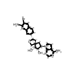 Nc1nc2cc([C@@H]3C[C@@]4(CO3)C[C@@H](n3ccc5c(N)ncnc53)[C@H](O)[C@@H]4O)ccc2cc1Br